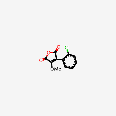 COC1=C(c2ccccc2Cl)C(=O)OC1=O